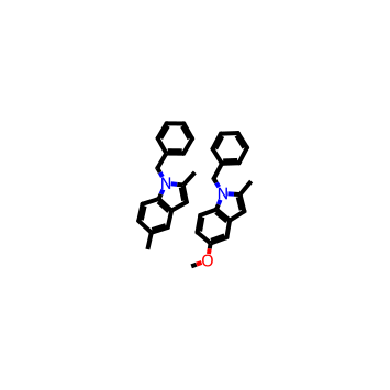 COc1ccc2c(c1)cc(C)n2Cc1ccccc1.Cc1ccc2c(c1)cc(C)n2Cc1ccccc1